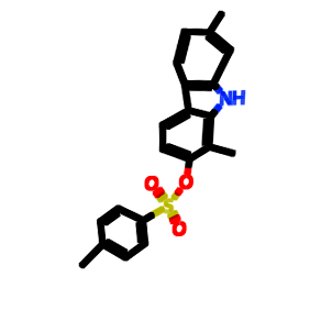 Cc1ccc(S(=O)(=O)Oc2ccc3c([nH]c4cc(C)ccc43)c2C)cc1